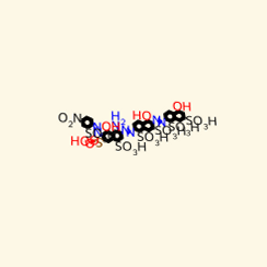 Nc1c(N=Nc2ccc3c(O)c(N=Nc4ccc5c(O)cc(S(=O)(=O)O)cc5c4S(=O)(=O)O)c(S(=O)(=O)O)cc3c2S(=O)(=O)O)cc(S(=O)(=O)O)c2cc(SOOO)c(N=Nc3ccc([N+](=O)[O-])cc3S(=O)(=O)O)c(O)c12